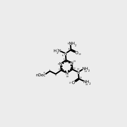 CCCCCCCCCCCCc1nc(N(N)C(N)=O)nc(N(N)C(N)=O)n1